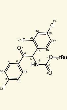 CC(C)(C)OC(=O)NC(C(=O)c1ccc(I)cc1)c1ccc(Cl)cc1F